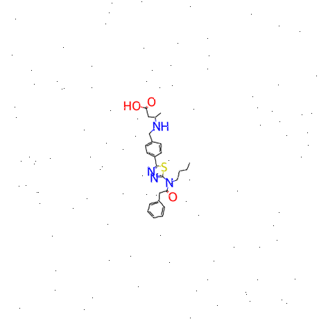 CCCCN(C(=O)Cc1ccccc1)c1nnc(-c2ccc(CNC(C)CC(=O)O)cc2)s1